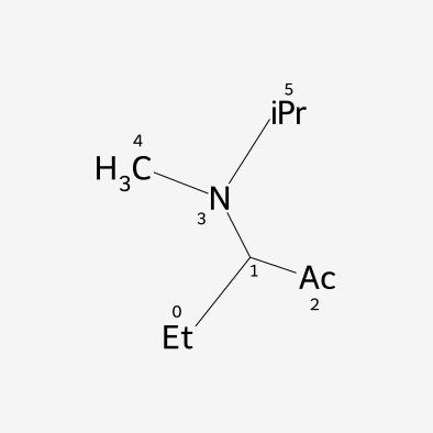 CCC(C(C)=O)N(C)C(C)C